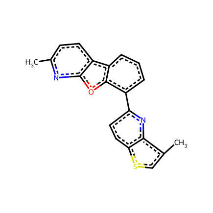 Cc1ccc2c(n1)oc1c(-c3ccc4scc(C)c4n3)cccc12